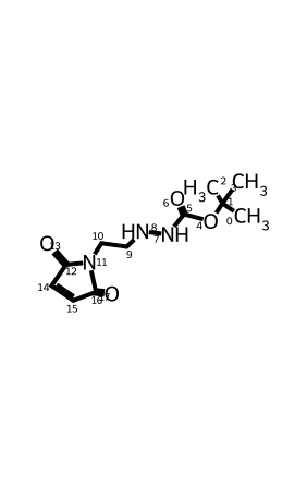 CC(C)(C)OC(=O)NNCCN1C(=O)C=CC1=O